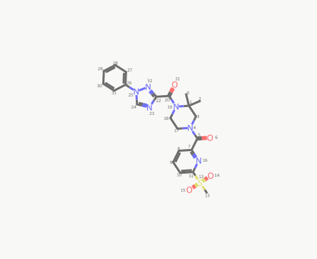 CC1(C)CN(C(=O)c2cccc(S(C)(=O)=O)n2)CCN1C(=O)c1ncn(-c2ccccc2)n1